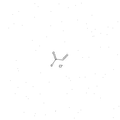 C=CC(=O)[O-].[Cl+]